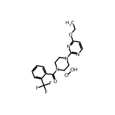 CCOc1ccnc(N2CCN(C(=O)c3ccccc3C(F)(F)F)CC2)n1.OCl